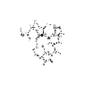 COc1cccc(-c2ccc3nnc(C(C)c4cc(NC(=O)C5CC5)c5nccn5n4)n3c2)c1